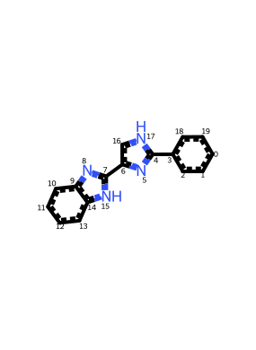 c1ccc(-c2nc(-c3nc4ccccc4[nH]3)c[nH]2)cc1